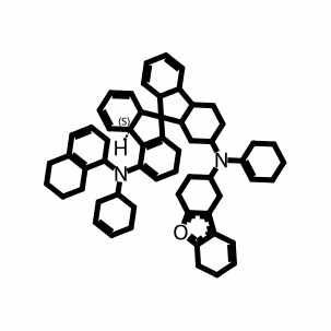 C1=CC2C3CCC(N(C4=CCCCC4)C4CCc5oc6c(c5C4)C=CCC6)CC3C3(C4=C(C(N(C5CC=CCC5)C5CC=CC6=C5CCCC6)=CCC4)[C@H]4C=CC=CC43)C2C=C1